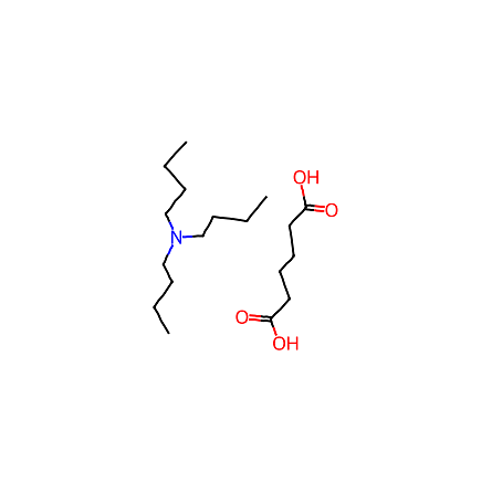 CCCCN(CCCC)CCCC.O=C(O)CCCCC(=O)O